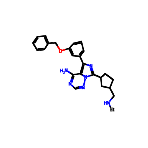 CCNCC1CCC(c2nc(-c3cccc(OCc4ccccc4)c3)c3c(N)ncnn23)C1